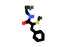 CC(=O)SC(Cc1ccccc1)C(=O)NCC(=O)O